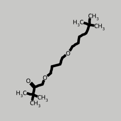 CC(C)(C)CCCCOCCCCOCC(=O)C(C)(C)C